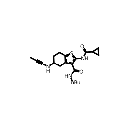 CC#CNC1CCc2sc(NC(=O)C3CC3)c(C(=O)NCCCC)c2C1